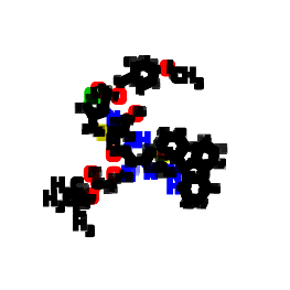 COc1ccc(COC(=O)C2=C(CCl)CS[C@@H]3C(NC(=O)/C(=N\OCC(=O)OC(C)(C)C)c4csc(NC(c5ccccc5)(c5ccccc5)c5ccccc5)n4)C(=O)N23)cc1